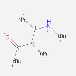 CCC[C@H](NC(C)(C)C)[C@H](CCC)C(=O)C(C)(C)C